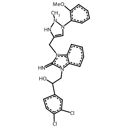 COc1ccccc1N1C=C(Cn2c(=N)n(CC(O)c3ccc(Cl)c(Cl)c3)c3ccccc32)NN1C